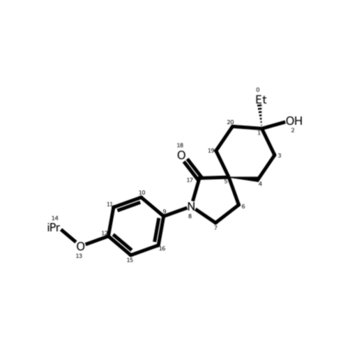 CC[C@]1(O)CC[C@]2(CCN(c3ccc(OC(C)C)cc3)C2=O)CC1